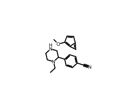 CCN1CCNCC1c1ccc(C#N)cc1.COc1ccc2cc1-2